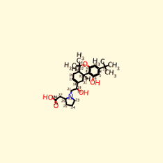 CC(C)(C)c1cc(O)c2c(c1)OC(C)(C)[C@@H]1CC=C(C(O)CN3CCCC3CC(=O)O)C[C@@H]21